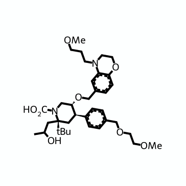 COCCCN1CCOc2ccc(CO[C@H]3CN(C(=O)O)[C@](CC(C)O)(C(C)(C)C)C[C@@H]3c3ccc(COCCOC)cc3)cc21